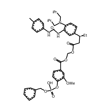 CC[C@@H](CC(=O)OCOC(=O)c1ccc(OP(=O)(O)OCc2ccccc2)c(OC)c1)c1ccc(N(CC(C)C)CC(C)C)c(NC(=O)Nc2ccc(C)cc2)c1